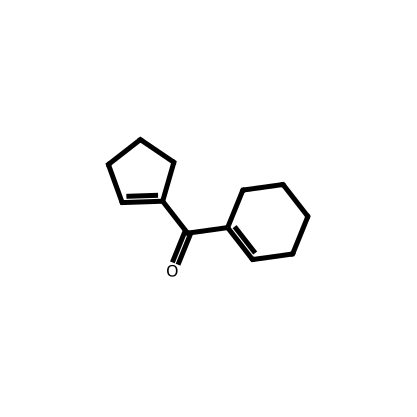 O=C(C1=CCCC1)C1=CCCCC1